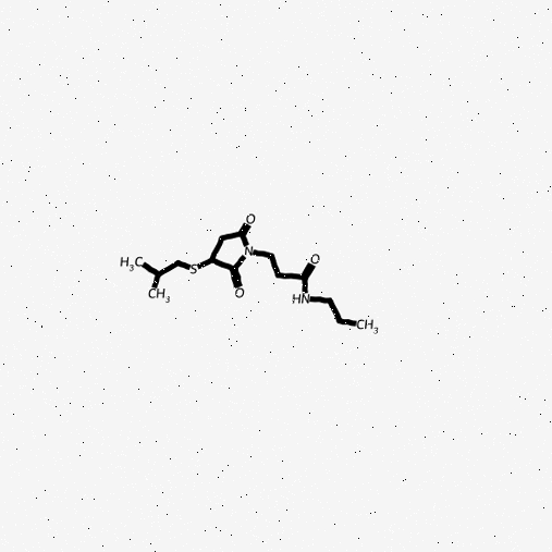 CCCNC(=O)CCN1C(=O)CC(SCC(C)C)C1=O